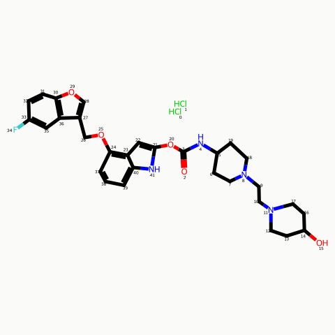 Cl.Cl.O=C(NC1CCN(CCN2CCC(O)CC2)CC1)Oc1cc2c(OCc3coc4ccc(F)cc34)cccc2[nH]1